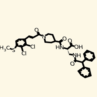 CSc1ccc(C=CC(=O)N2CCC(C(=O)N[C@@H](CNC(=O)C(c3ccccc3)c3ccccc3)C(=O)O)CC2)c(Cl)c1Cl